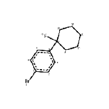 FC1(c2ccc(Br)cc2)CCCCC1